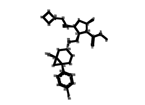 COC(=O)N1[C@H](C)C[C@H](NCN2CCC2)[C@@H]1CO[C@@H]1CC[C@]2(c3ncc(F)cn3)C[C@@H]2C1